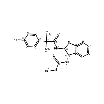 CC(C)(C)OC(=O)N[C@H]1c2ccccc2C[C@@H]1NC(=O)C(C)(C)c1ccc(F)cc1